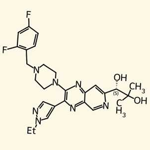 CCn1cc(-c2nc3cnc([C@H](O)C(C)(C)O)cc3nc2N2CCN(Cc3ccc(F)cc3F)CC2)cn1